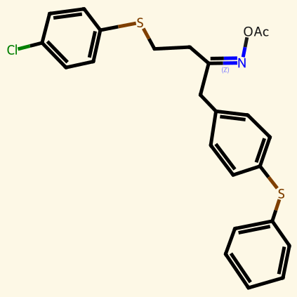 CC(=O)O/N=C(\CCSc1ccc(Cl)cc1)Cc1ccc(Sc2ccccc2)cc1